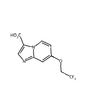 O=C(O)c1cnc2cc(OCC(F)(F)F)ccn12